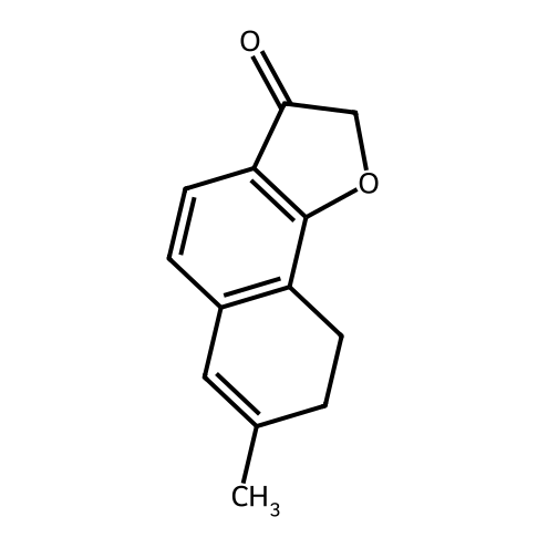 CC1=Cc2ccc3c(c2CC1)OCC3=O